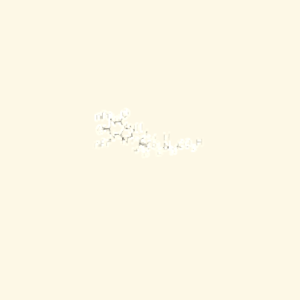 CCCn1c(=O)c2[nH]c(C34CCC(CNCC(=O)O)(CC3)CC4)nc2n(CCC)c1=O